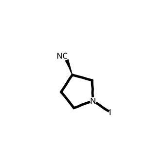 N#C[C@@H]1CCN(I)C1